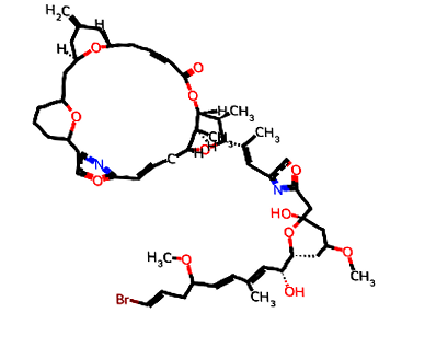 C=C1C[C@@H]2CC3CCCC(O3)c3coc(n3)/C=C/C[C@H]3O[C@@H](/C(C)=C/c4coc(C[C@]5(O)CC(OC)C[C@H]([C@H](O)/C=C(C)/C=C/C(C/C=C/Br)OC)O5)n4)[C@H](C)[C@@H](OC(=O)/C=C\C[C@@H](C1)O2)[C@H]3C